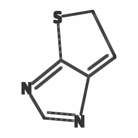 C1=NC2=CCSC2=N1